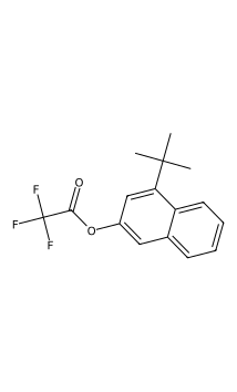 CC(C)(C)c1cc(OC(=O)C(F)(F)F)cc2ccccc12